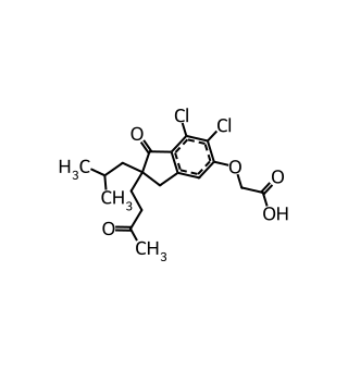 CC(=O)CCC1(CC(C)C)Cc2cc(OCC(=O)O)c(Cl)c(Cl)c2C1=O